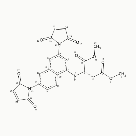 COC(=O)C[C@H](Nc1cc(N2C(=O)C=CC2=O)cc2cc(N3C(=O)C=CC3=O)ccc12)C(=O)OC